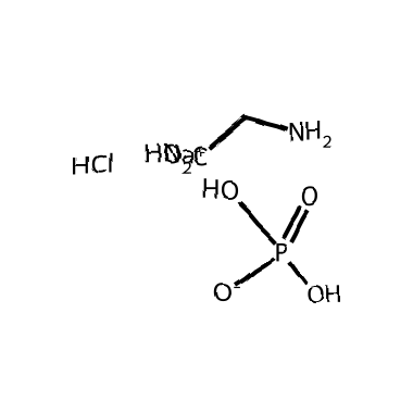 Cl.NCC(=O)O.O=P([O-])(O)O.[Na+]